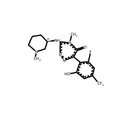 CN1CCC[C@@H](Nc2nnc(-c3c(O)cc(C(F)(F)F)cc3F)c(=O)n2C)C1